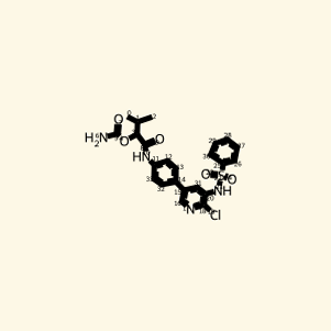 CC(C)C(OC(N)=O)C(=O)Nc1ccc(-c2cnc(Cl)c(NS(=O)(=O)c3ccccc3)c2)cc1